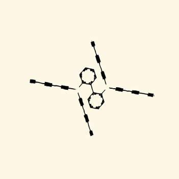 C#CC#CC#CP(C#CC#CC#C)c1ccccc1-c1ccccc1P(C#CC#CC#C)C#CC#CC#C